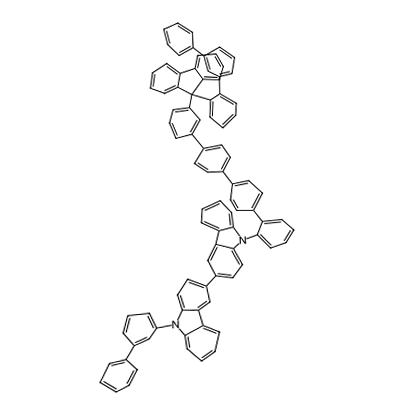 c1ccc(-c2cccc(-c3ccccc3C3(c4cccc(-c5ccc(-c6ccc(-c7ccccc7-n7c8ccccc8c8cc(-c9ccc%10c(c9)c9ccccc9n%10-c9cccc(-c%10ccccc%10)c9)ccc87)cc6)cc5)c4)c4ccccc4-c4ccccc43)c2)cc1